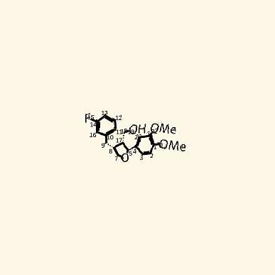 COc1ccc([C@H]2OC[C@H](Cc3cccc(F)c3)[C@@H]2CO)cc1OC